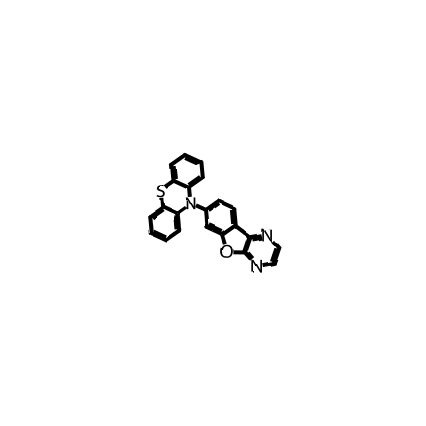 c1ccc2c(c1)Sc1ccccc1N2c1ccc2c(c1)oc1nccnc12